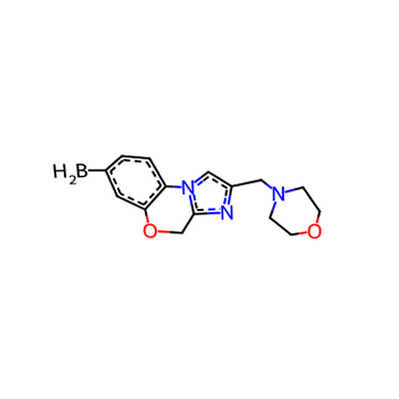 Bc1ccc2c(c1)OCc1nc(CN3CCOCC3)cn1-2